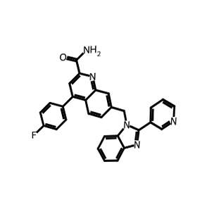 NC(=O)c1cc(-c2ccc(F)cc2)c2ccc(Cn3c(-c4cccnc4)nc4ccccc43)cc2n1